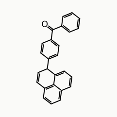 O=C(c1ccccc1)c1ccc(C2C=Cc3cccc4cccc2c34)cc1